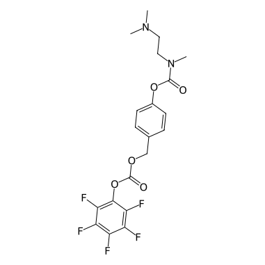 CN(C)CCN(C)C(=O)Oc1ccc(COC(=O)Oc2c(F)c(F)c(F)c(F)c2F)cc1